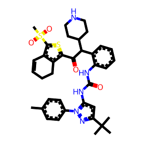 Cc1ccc(-n2nc(C(C)(C)C)cc2NC(=O)Nc2ccccc2C(C(=O)c2sc(S(C)(=O)=O)c3c2CCC=C3)C2CCNCC2)cc1